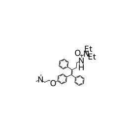 CCN(CC)C(=O)NCC/C(=C(\c1ccccc1)c1ccc(OCCN(C)C)cc1)c1ccccc1